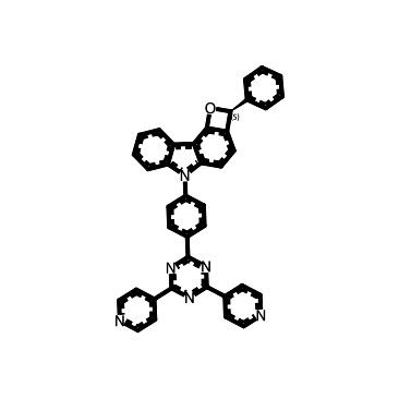 c1ccc([C@@H]2Oc3c2ccc2c3c3ccccc3n2-c2ccc(-c3nc(-c4ccncc4)nc(-c4ccncc4)n3)cc2)cc1